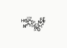 Cc1nc(C(F)(F)F)ccc1C(=O)N(C)CC[C@]1(C)C=C(C#N)C(O)C(C)(C)C1